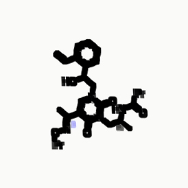 C=Cc1ccccc1C(O)Cn1cc(/C(C)=N/OC(C)C)c(=O)n(C[C@H](C)NC(=O)C(C)C)c1=O